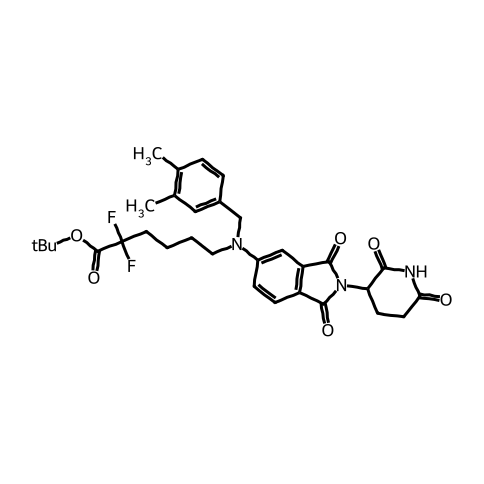 Cc1ccc(CN(CCCCC(F)(F)C(=O)OC(C)(C)C)c2ccc3c(c2)C(=O)N(C2CCC(=O)NC2=O)C3=O)cc1C